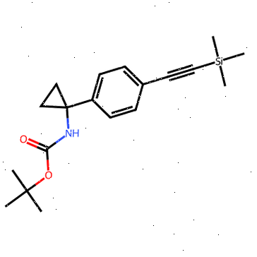 CC(C)(C)OC(=O)NC1(c2ccc(C#C[Si](C)(C)C)cc2)CC1